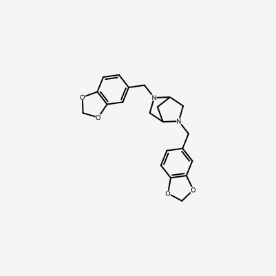 c1cc2c(cc1CN1CC3CC1CN3Cc1ccc3c(c1)OCO3)OCO2